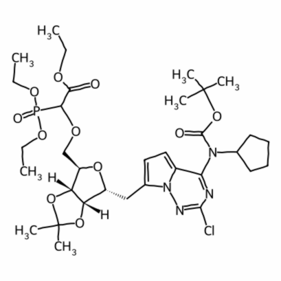 CCOC(=O)C(OC[C@H]1O[C@H](Cc2ccc3c(N(C(=O)OC(C)(C)C)C4CCCC4)nc(Cl)nn23)[C@@H]2OC(C)(C)O[C@@H]21)P(=O)(OCC)OCC